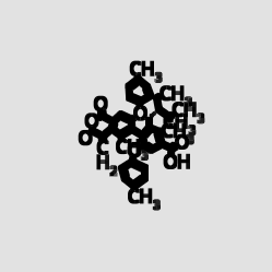 C=C1C(=O)OC(=O)c2cc(Oc3ccc(C)cc3)c(-c3c(Oc4ccc(C)cc4)cc(C(=O)O)c(C)c3C[C@H](CC)C(C)C)c(C)c21